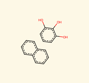 Oc1cccc(O)c1O.c1ccc2ccccc2c1